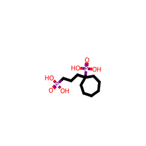 O=P(O)(O)CCCC1(P(=O)(O)O)CCCCCC1